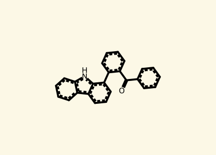 O=C(c1ccccc1)c1ccccc1-c1cccc2c1[nH]c1ccccc12